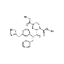 CC(C)(C)OC(=O)N1CCN(C(=O)OC(C)(C)C)[C@H](C(=O)N(Cc2ccccc2)c2cccc(Cn3ccnc3)c2)C1